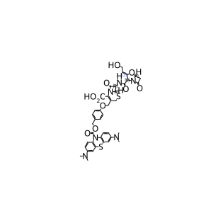 CN(C)c1ccc2c(c1)Sc1cc(N(C)C)ccc1N2C(=O)OCc1ccc(OCC2=C(C(=O)O)N3C(=O)[C@@H](NC(=O)[C@H]4/C(=C/CO)O[C@@H]5CC(=O)N54)[C@H]3SC2)cc1